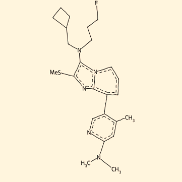 CSc1nc2c(-c3cnc(N(C)C)cc3C)cccn2c1N(CCCF)CC1CCC1